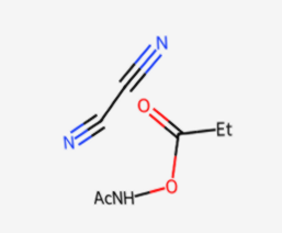 CCC(=O)ONC(C)=O.N#CC#N